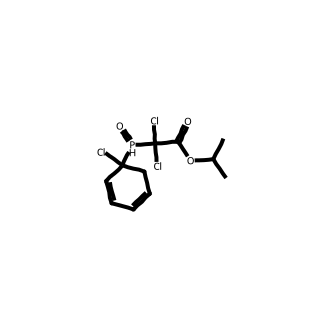 CC(C)OC(=O)C(Cl)(Cl)[PH](=O)C1(Cl)C=CC=CC1